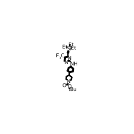 CC[Si](C#Cc1nc(Nc2ccc(C3CCN(C(=O)OC(C)(C)C)CC3)cc2)ncc1C(F)(F)F)(CC)CC